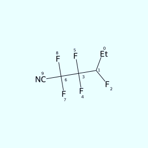 CCC(F)C(F)(F)C(F)(F)C#N